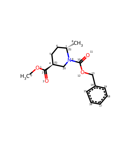 COC(=O)[C@H]1CC[C@H](C)N(C(=O)OCc2ccccc2)C1